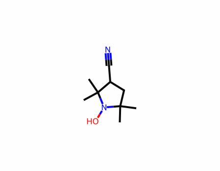 CC1(C)CC(C#N)C(C)(C)N1O